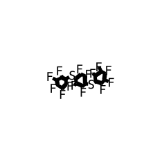 Fc1c(F)c(F)c(Sc2c(F)c(F)c(Sc3c(F)c(F)c(F)c(F)c3F)c(F)c2F)c(F)c1F